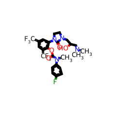 CN(C)CC(O)CN1CCN(c2cc(C(F)(F)F)cc(C(F)(F)F)c2OC(=O)N(C)c2ccc(F)cc2)C1=O